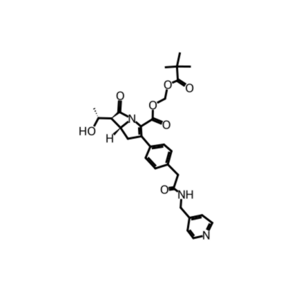 C[C@@H](O)[C@H]1C(=O)N2C(C(=O)OCOC(=O)C(C)(C)C)=C(c3ccc(CC(=O)NCc4ccncc4)cc3)C[C@H]12